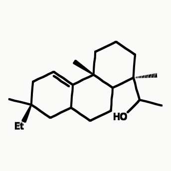 CC[C@@]1(C)CC=C2C(CCC3[C@](C)(C(C)O)CCC[C@@]23C)C1